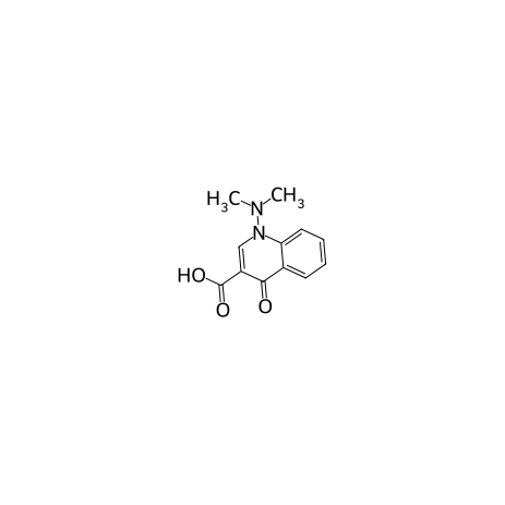 CN(C)n1cc(C(=O)O)c(=O)c2ccccc21